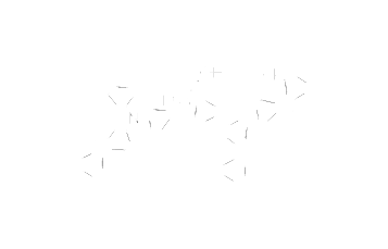 CC1(C)c2ccccc2-c2ccc(N(c3ccccc3)c3cccc(BOC(C)(C)C(C)(O)Cc4cccc(-c5cc(-c6ccccc6)cc6c5C(C)(C)c5cc7c(cc5-6)C(C)(C)c5cccc(Cl)c5-7)c4)c3)cc21